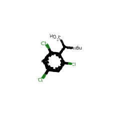 CCCCC(C(=O)O)c1c(Cl)cc(Cl)cc1Cl